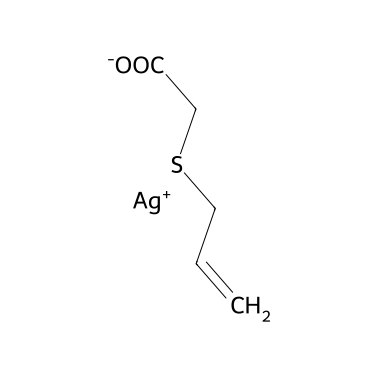 C=CCSCC(=O)[O-].[Ag+]